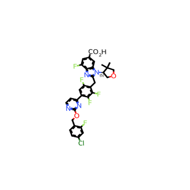 CC1(C)COC[C@H]1n1c(Cc2c(F)cc(-c3ccnc(OCc4ccc(Cl)cc4F)n3)c(F)c2F)nc2c(F)cc(C(=O)O)cc21